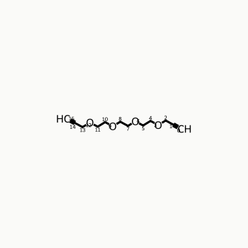 C#CCOCCOCCOCCOCC#C